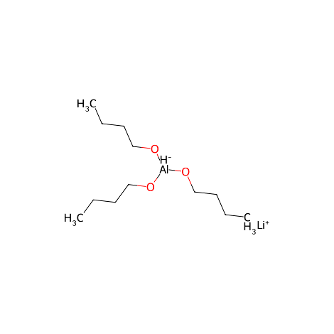 CCCC[O][AlH-]([O]CCCC)[O]CCCC.[Li+]